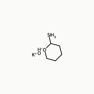 [K+].[OH-].[SiH3]C1CCCCO1